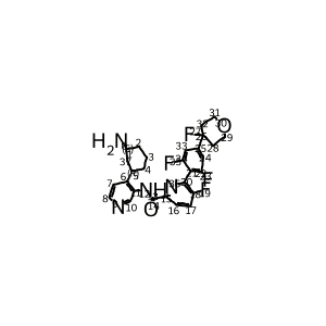 N[C@H]1CCC[C@@H](c2ccncc2NC(=O)c2ccc(F)c(-c3c(F)cc(C4(F)CCOCC4)cc3F)n2)C1